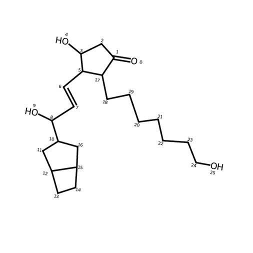 O=C1CC(O)C(/C=C/C(O)C2CC3CCC3C2)C1CCCCCCCO